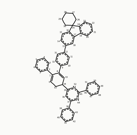 C1=C(c2ccccc2)C(c2ccc(-c3ccc4c(c3)-c3ccccc3C43CCCCC3)cc2)=CC(c2cc(-c3ccccc3)nc(-c3ccccc3)n2)C1